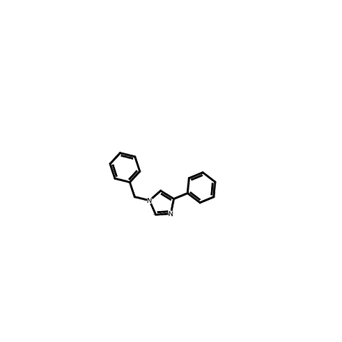 [c]1nc(-c2ccccc2)cn1Cc1ccccc1